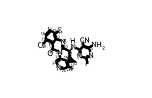 Cc1nc(N)c(C#N)c(N[C@H](c2nc3c(F)ccc(Cl)c3c(=O)n2-c2cncc(F)c2)C2CC2)n1